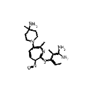 C/C=C(/SC1=NC(C)=C(N2CCC(C)(N)CC2)C=CC1N=O)C(C)=C(N)N